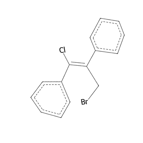 ClC(=C(CBr)c1ccccc1)c1ccccc1